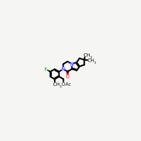 CC(=O)OCc1c(C)cc(F)cc1N1CCn2c(cc3c2CC(C)(C)C3)C1=O